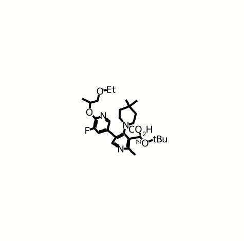 CCOCC(C)Oc1ncc(-c2cnc(C)c([C@H](OC(C)(C)C)C(=O)O)c2N2CCC(C)(C)CC2)cc1F